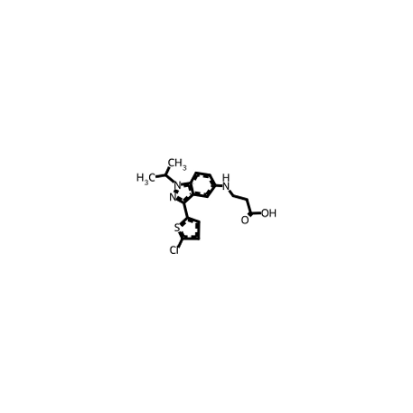 CC(C)n1nc(-c2ccc(Cl)s2)c2cc(NCCC(=O)O)ccc21